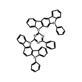 c1ccc(-c2nc(-n3c4ccccc4c4cc5c6ccccc6n(-c6ccccc6)c5cc43)nc(-n3c4ccccc4c4ccc5c(c6ccccc6n5-c5ccccc5)c43)n2)cc1